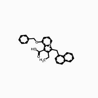 CCc1c(C(=O)O)c2c(OCc3ccccc3)cccn2c1Cc1cccc2ccccc12